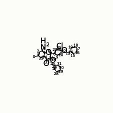 Cc1cc(N)c2oc(-c3ccc(OCc4ccccc4)c(Cl)c3)c(OCc3ccccc3)c(=O)c2c1